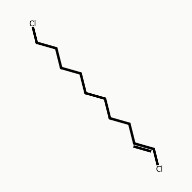 ClC=CCCCCCCCCCl